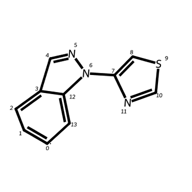 [c]1ccc2cnn(-c3cscn3)c2c1